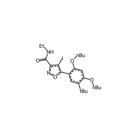 CCCCOc1cc(OCCCC)c(C(C)(C)C)cc1-c1onc(C(=O)NCC)c1I